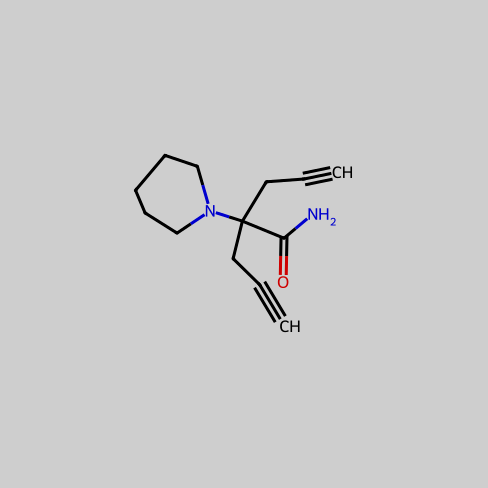 C#CCC(CC#C)(C(N)=O)N1CCCCC1